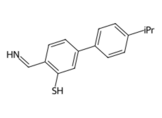 CC(C)c1ccc(-c2ccc(C=N)c(S)c2)cc1